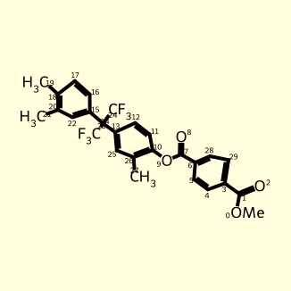 COC(=O)c1ccc(C(=O)Oc2ccc(C(c3ccc(C)c(C)c3)(C(F)(F)F)C(F)(F)F)cc2C)cc1